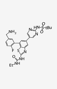 CCNC(=O)Nc1nc2cc(-c3cnc(NS(=O)(=O)C(C)(C)C)nc3)cc(-c3cc(CN)ccc3F)c2s1